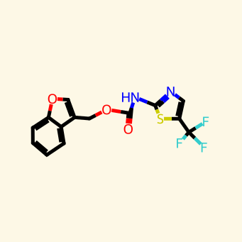 O=C(Nc1ncc(C(F)(F)F)s1)OCc1coc2ccccc12